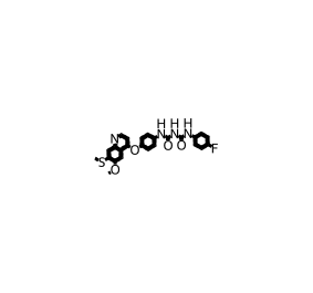 COc1cc2c(Oc3ccc(NC(=O)NC(=O)Nc4ccc(F)cc4)cc3)ccnc2cc1SC